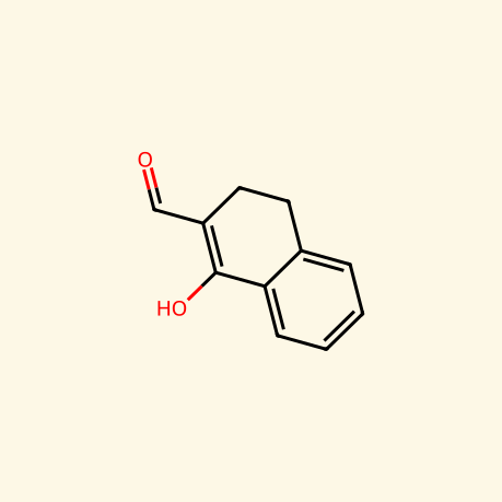 O=CC1=C(O)c2ccccc2CC1